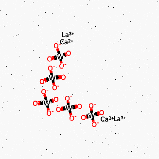 [Ca+2].[Ca+2].[La+3].[La+3].[O]=[W](=[O])([O-])[O-].[O]=[W](=[O])([O-])[O-].[O]=[W](=[O])([O-])[O-].[O]=[W](=[O])([O-])[O-].[O]=[W](=[O])([O-])[O-]